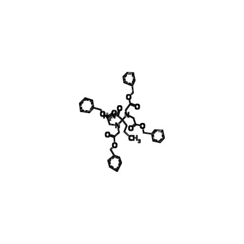 CCCC(C(N)=O)(N(CC(=O)OCc1ccccc1)CC(=O)OCc1ccccc1)N(CC(=O)OCc1ccccc1)CC(=O)OCc1ccccc1